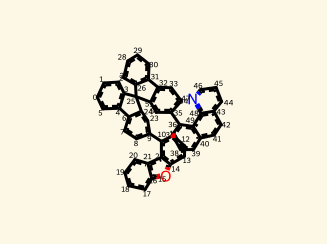 c1ccc2c(c1)-c1ccc(-c3cccc4oc5ccccc5c34)cc1C21c2ccccc2-c2ccc(-c3cccc4ccc5cccnc5c34)cc21